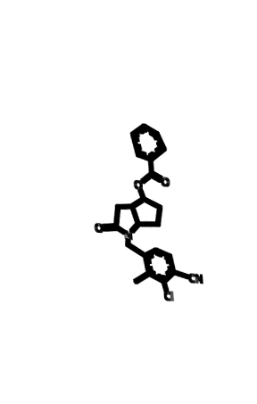 Cc1c(CN2C(=O)CC3C(OC(=O)c4ccccc4)CCC32)ccc(C#N)c1Cl